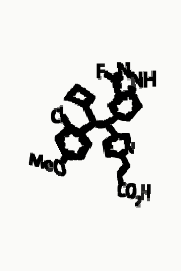 COc1ccc(C(=C(c2ccc(C=CC(=O)O)nc2)c2ccc3[nH]nc(F)c3c2)C2CCC2)c(Cl)c1